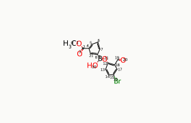 COC(=O)c1cccc(B(O)Oc2ccc(Br)cc2C=O)c1